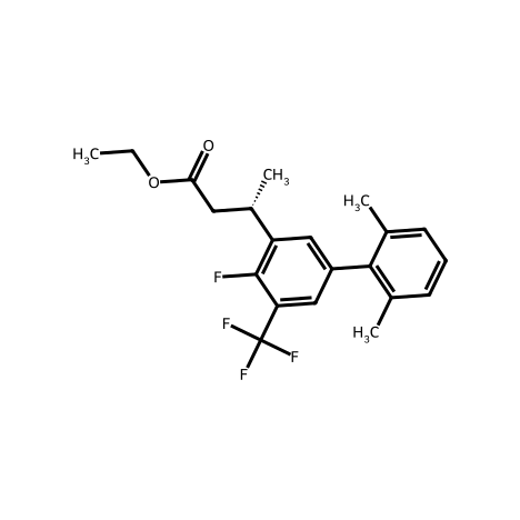 CCOC(=O)C[C@H](C)c1cc(-c2c(C)cccc2C)cc(C(F)(F)F)c1F